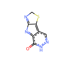 O=c1[nH]ncc2c1=NC1=NCSC=21